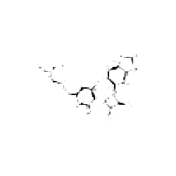 O=C1C(O)[C@H](c2c(F)cc(OCCC(F)F)cc2F)N1c1ccc2[nH]cnc2c1